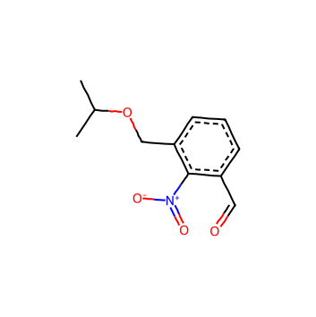 CC(C)OCc1cccc(C=O)c1[N+](=O)[O-]